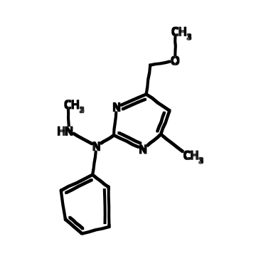 CNN(c1ccccc1)c1nc(C)cc(COC)n1